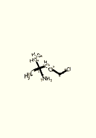 CC(C)(N)O.ClCCl.O